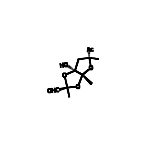 CC(=O)[C@@]1(C)C[C@]2(O)O[C@](C)(C=O)O[C@@]2(C)O1